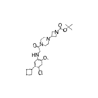 COc1cc(Cl)c(C2CCC2)cc1NCC(=O)N1CCN(C2CN(C(=O)OC(C)(C)C)C2)CC1